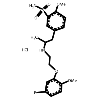 COc1ccc(F)cc1OCCNC(C)Cc1ccc(OC)c(S(N)(=O)=O)c1.Cl